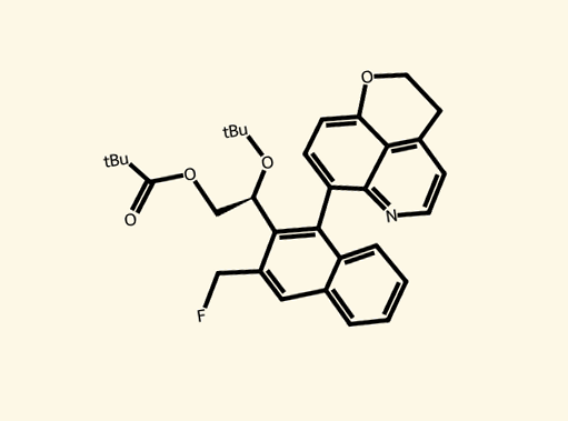 CC(C)(C)O[C@H](COC(=O)C(C)(C)C)c1c(CF)cc2ccccc2c1-c1ccc2c3c(ccnc13)CCO2